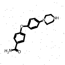 NC(=O)c1ccc(Oc2ccc(N3CCNCC3)cc2)cc1